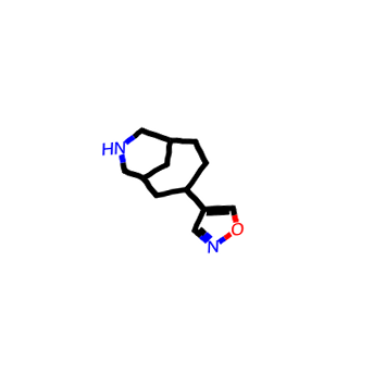 c1nocc1C1CCC2CNCC(C2)C1